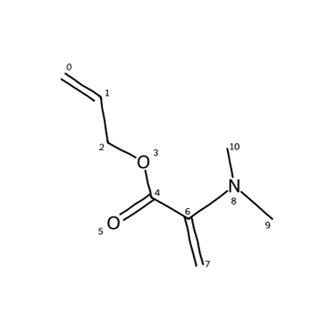 C=CCOC(=O)C(=C)N(C)C